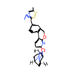 Cc1cnc(-c2ccc3c(c2)COc2nc(O[C@@H]4C[C@H]5C[C@@H](C4)N5)ccc2-3)s1